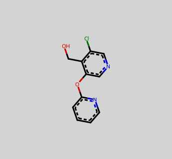 OCc1c(Cl)cncc1Oc1ccccn1